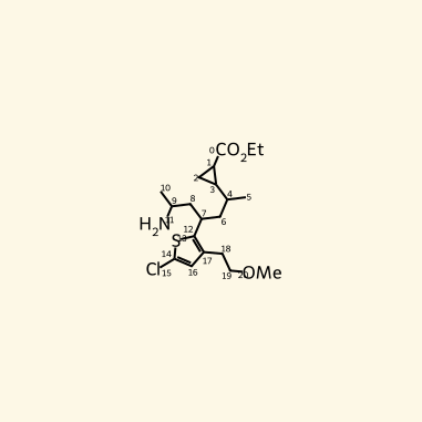 CCOC(=O)C1CC1C(C)CC(CC(C)N)c1sc(Cl)cc1CCOC